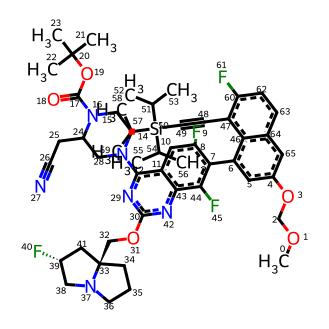 COCOc1cc(-c2c(F)cc3c(N4CCN(C(=O)OC(C)(C)C)C(CC#N)C4)nc(OC[C@@]45CCCN4C[C@H](F)C5)nc3c2F)c2c(C#C[Si](C(C)C)(C(C)C)C(C)C)c(F)ccc2c1